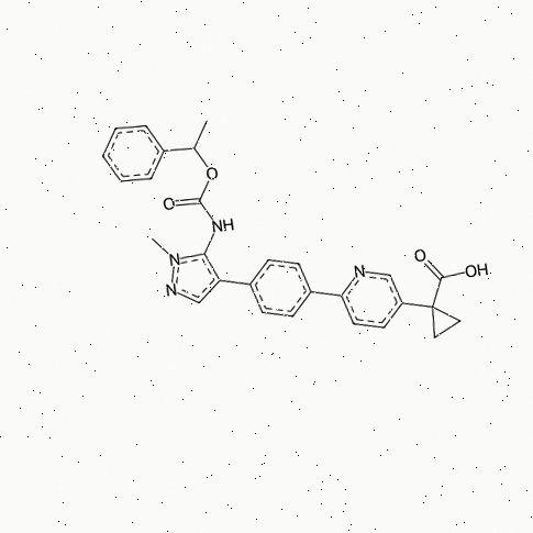 CC(OC(=O)Nc1c(-c2ccc(-c3ccc(C4(C(=O)O)CC4)cn3)cc2)cnn1C)c1ccccc1